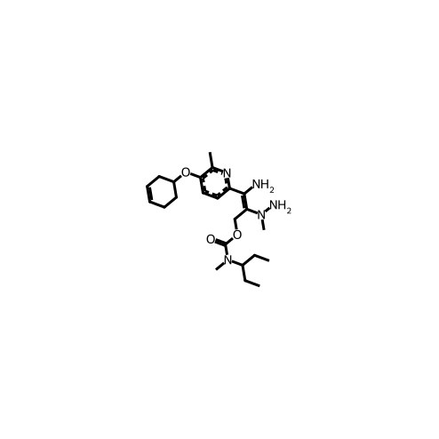 CCC(CC)N(C)C(=O)OC/C(=C(/N)c1ccc(OC2CC=CCC2)c(C)n1)N(C)N